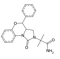 CC(C)(C(N)=O)N1CC2C(c3ccccc3)Oc3ccccc3N2C1=O